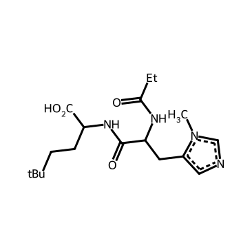 CCC(=O)NC(Cc1cncn1C)C(=O)NC(CCC(C)(C)C)C(=O)O